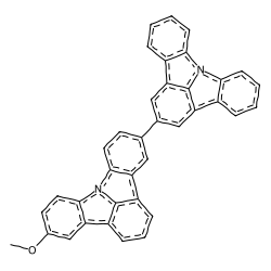 COc1ccc2c(c1)c1cccc3c4cc(-c5cc6c7ccccc7n7c8ccccc8c(c5)c67)ccc4n2c13